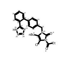 CCCCc1c(Cl)n(C(=O)CC)c(=O)n1Cc1ccc(-c2ccccc2-c2nnn[nH]2)cc1